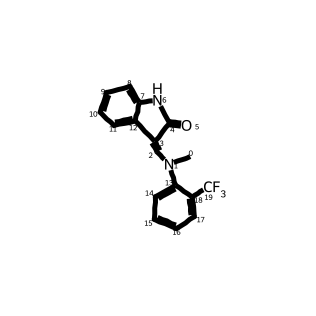 CN(C=C1C(=O)Nc2ccccc21)c1ccccc1C(F)(F)F